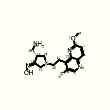 COc1ccc2ncc(F)c(CCN3C/C(=N\O)[C@H](CN)C3)c2n1